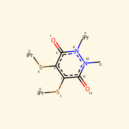 CC(C)Sc1c(SC(C)C)c(=O)n(C(C)C)n(C)c1=O